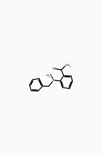 CC(Cl)c1ccccc1N(N)Cc1ccccc1